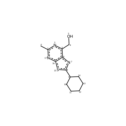 Cc1nc(CO)c2nc(C3CCCCC3)sc2n1